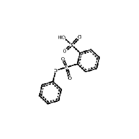 O=S(=O)(O)c1ccccc1S(=O)(=O)Oc1ccccc1